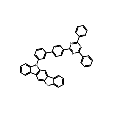 c1ccc(-c2nc(-c3ccccc3)nc(-c3ccc(-c4cccc(-n5c6ccccc6c6cc7sc8ccccc8c7cc65)c4)cc3)n2)cc1